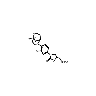 CC(=O)NCC1CN(c2ccc(N3CC[C@H]4CC3CCS4)c(F)c2)C(=O)O1